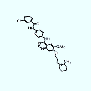 COc1cc2c(Nc3ccc(NC(=O)c4cccc(Cl)c4)nc3)ncnc2cc1OCCCN1CCCCC1C